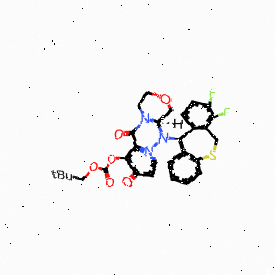 CC(C)(C)COC(=O)Oc1c2n(ccc1=O)N([C@@H]1c3ccccc3SCc3c1ccc(F)c3F)[C@@H]1COCCN1C2=O